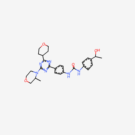 CC(O)c1ccc(NC(=O)Nc2ccc(-c3nc(C4CCOCC4)nc(N4CCOCC4C)n3)cc2)cc1